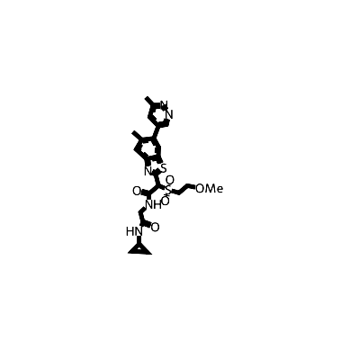 COCCS(=O)(=O)C(C(=O)NCC(=O)NC1CC1)c1nc2cc(C)c(-c3cnnc(C)c3)cc2s1